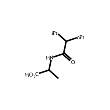 CCCC(C(=O)NC(C)C(=O)O)C(C)C